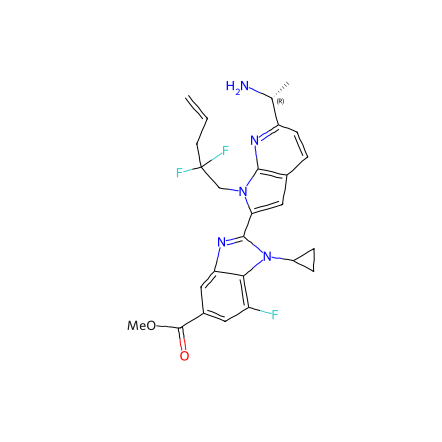 C=CCC(F)(F)Cn1c(-c2nc3cc(C(=O)OC)cc(F)c3n2C2CC2)cc2ccc([C@@H](C)N)nc21